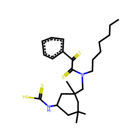 CCCCCCCN(CC1(C)CC(NC(=S)S)CC(C)(C)C1)C(=S)C(=S)c1ccccc1